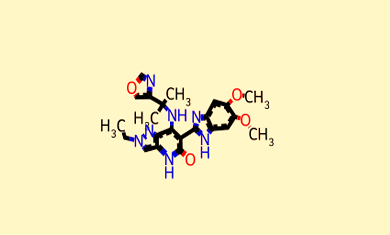 CCn1cc2[nH]c(=O)c(-c3nc4cc(OC)c(OC)cc4[nH]3)c(NC(C)(C)c3cocn3)c2n1